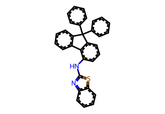 c1ccc(C2(c3ccccc3)c3ccccc3-c3c(Nc4nc5ccccc5s4)cccc32)cc1